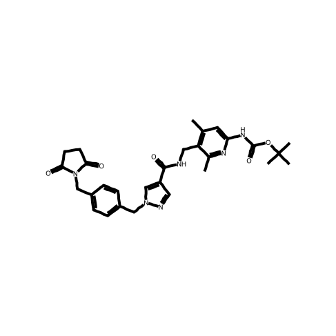 Cc1cc(NC(=O)OC(C)(C)C)nc(C)c1CNC(=O)c1cnn(Cc2ccc(CN3C(=O)CCC3=O)cc2)c1